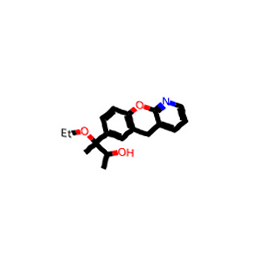 CCOC(C)(c1ccc2c(c1)Cc1cccnc1O2)C(C)O